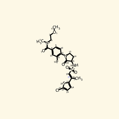 COCCN(C)C(=O)c1ccc(N2CCC(NS(=O)(=O)/C=C(\C)c3ccc(Cl)s3)C2=O)c(F)c1